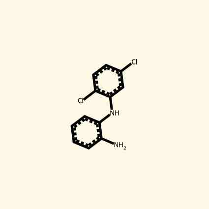 Nc1ccccc1Nc1cc(Cl)ccc1Cl